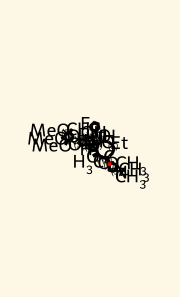 CC[C@H]1CCC[C@H](O[C@H]2CC[C@H](N(C)C)C(C)O2)[C@@H](C)C(=O)C2=C[C@H]3[C@@H]4C[C@H](O[C@@H]5OC(C)[C@H](OC)C(OC)C5OC)C[C@H]4[C@@H](O)[C@H](Nc4cccc(F)c4)[C@H]3[C@@H]2CC(=O)O1